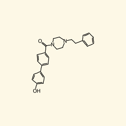 O=C(c1ccc(-c2ccc(O)cc2)cc1)N1CCN(CCc2ccccc2)CC1